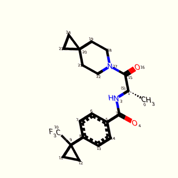 C[C@H](NC(=O)c1ccc(C2(C(F)(F)F)CC2)cc1)C(=O)N1CCC2(CC1)CC2